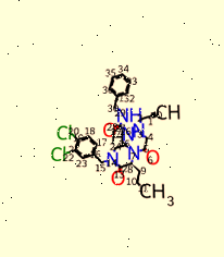 C#CCN1CC(=O)N2[C@@H](CCC)C(=O)N(Cc3ccc(Cl)c(Cl)c3)C[C@@H]2N1C(=O)NCc1ccccc1